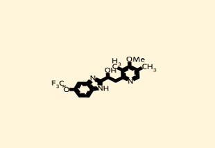 COc1c(C)cnc(CC(O)c2nc3cc(OC(F)(F)F)ccc3[nH]2)c1C